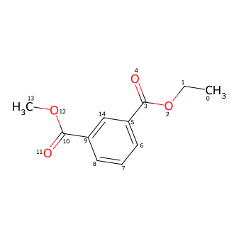 CCOC(=O)c1cccc(C(=O)OC)c1